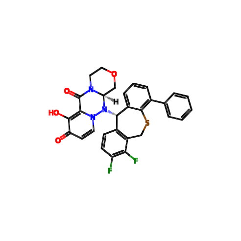 O=C1c2c(O)c(=O)ccn2N([C@H]2c3ccc(F)c(F)c3CSc3c(-c4ccccc4)cccc32)[C@@H]2COCCN12